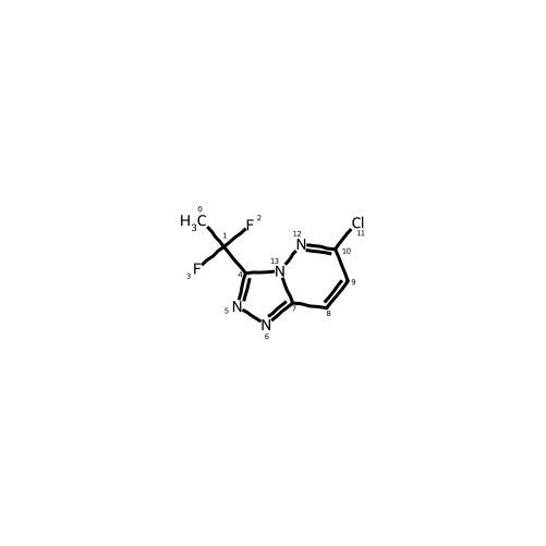 CC(F)(F)c1nnc2ccc(Cl)nn12